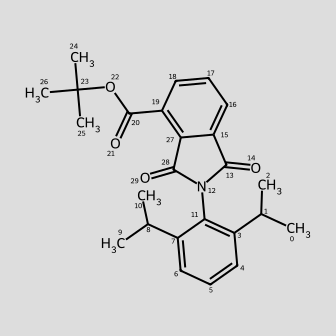 CC(C)c1cccc(C(C)C)c1N1C(=O)c2cccc(C(=O)OC(C)(C)C)c2C1=O